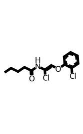 CCCCC(=O)NC(Cl)=COc1ccccc1Cl